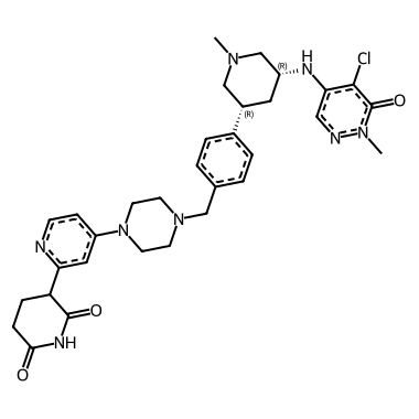 CN1C[C@H](Nc2cnn(C)c(=O)c2Cl)C[C@H](c2ccc(CN3CCN(c4ccnc(C5CCC(=O)NC5=O)c4)CC3)cc2)C1